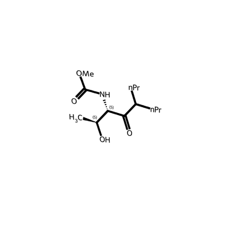 CCCC(CCC)C(=O)[C@@H](NC(=O)OC)[C@H](C)O